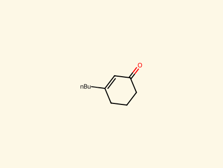 CCCCC1=CC(=O)CCC1